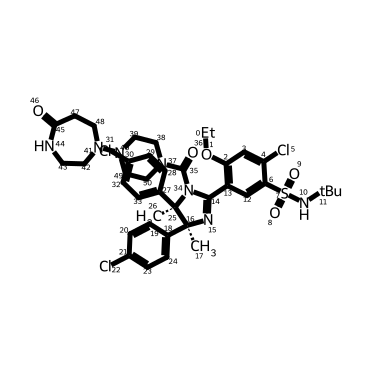 CCOc1cc(Cl)c(S(=O)(=O)NC(C)(C)C)cc1C1=N[C@@](C)(c2ccc(Cl)cc2)[C@@](C)(c2ccc(Cl)cc2)N1C(=O)N1CCN(N2CCNC(=O)CC2)CC1